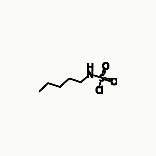 CCCCCNS(=O)(=O)Cl